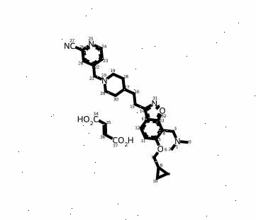 CN(C)Cc1c(OCC2CC2)ccc2c(CCC3CCN(Cc4ccnc(C#N)c4)CC3)noc12.O=C(O)C=CC(=O)O